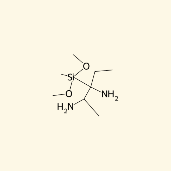 CCC(N)(C(C)N)[Si](C)(OC)OC